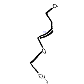 CCO/C=C/C[O]